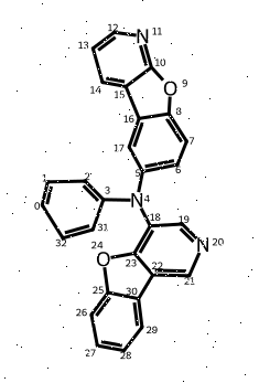 c1ccc(N(c2ccc3oc4ncccc4c3c2)c2cncc3c2oc2ccccc23)cc1